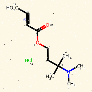 CN(C)C(C)(C)CCOC(=O)/C=C/C(=O)O.Cl